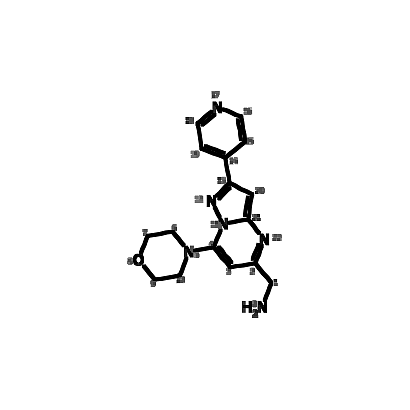 NCc1cc(N2CCOCC2)n2nc(-c3ccncc3)cc2n1